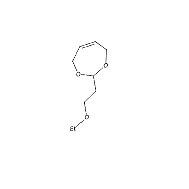 CCOCCC1OCC=CCO1